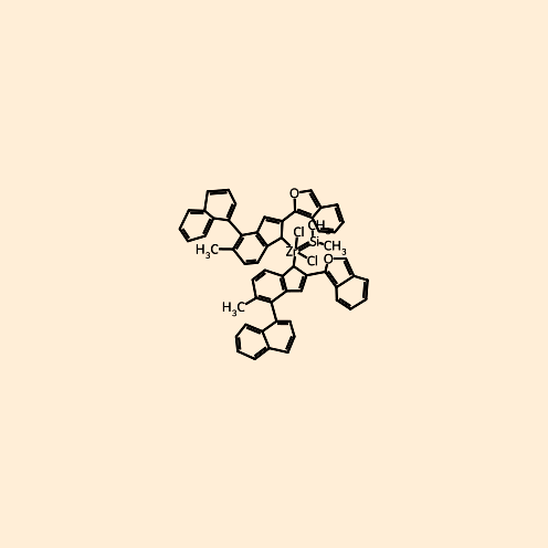 Cc1ccc2c(c1-c1cccc3ccccc13)C=C(c1occ3ccccc13)[CH]2[Zr]([Cl])([Cl])([CH]1C(c2occ3ccccc23)=Cc2c1ccc(C)c2-c1cccc2ccccc12)=[Si](C)C